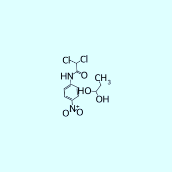 CCC(O)O.O=C(Nc1ccc([N+](=O)[O-])cc1)C(Cl)Cl